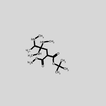 CNC(C)C(CC(C(=O)ON)C(=O)OC(C)(C)C)(NC)NC